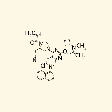 C=C(F)C(=O)N1CCN(c2nc(OC[C@H](C)N(C)C3CCC3)nc3c2CCN(c2cccc4cccc(Cl)c24)C3)CC1CC#N